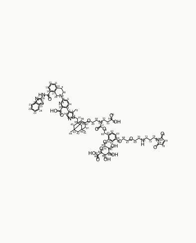 Cc1c(-c2ccc(N3CCc4cccc(C(=O)Nc5nc6ccccc6s5)c4C3)nc2C(=O)O)cnn1CC12CC3(C)CC(C)(C1)CC(OCCN(CCC(=O)O)C(=O)OCc1ccc(OCCOCCNCCCN4C(=O)C=CC4=O)cc1O[C@@H]1O[C@H](C(=O)O)[C@@H](O)[C@H](O)[C@H]1O)(C3)C2